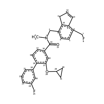 CN(Cc1ccc(CF)c2c1CN=C2)C(=O)c1ccc(-c2cccc(F)c2)c(OC2CC2)c1